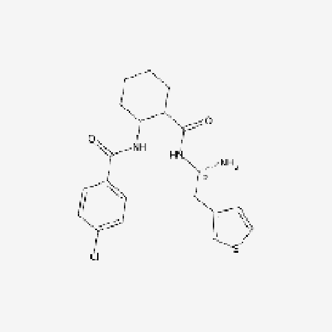 N[C@H](Cc1ccsc1)NC(=O)C1CCCCC1NC(=O)c1ccc(Cl)cc1